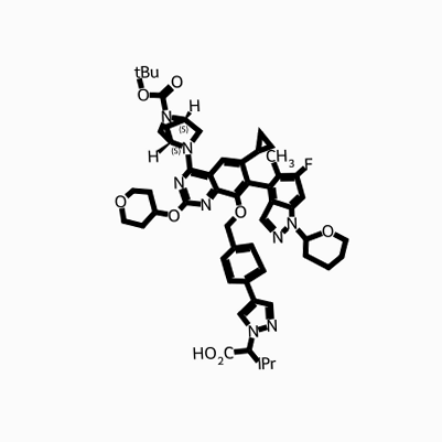 Cc1c(F)cc2c(cnn2C2CCCCO2)c1-c1c(C2CC2)cc2c(N3C[C@@H]4C[C@H]3CN4C(=O)OC(C)(C)C)nc(OC3CCOCC3)nc2c1OCc1ccc(-c2cnn(C(C(=O)O)C(C)C)c2)cc1